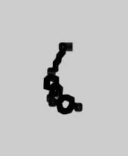 O=C1CCCC(=O)C(N2Cc3cc(OCCCCCO)ccc3C2=O)CC1